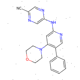 N#Cc1cnc(Nc2cc(N3CCOCC3)c(-c3ccccc3)cn2)cn1